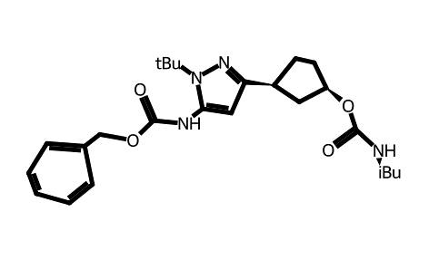 CC[C@H](C)NC(=O)O[C@@H]1CC[C@H](c2cc(NC(=O)OCc3ccccc3)n(C(C)(C)C)n2)C1